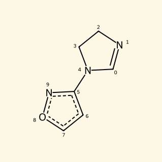 C1=NCCN1c1ccon1